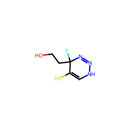 OCCC1(F)N=NN[C]=C1S